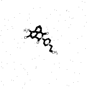 C=CCN1CCC(N2C(=O)c3cccc4c(N)c(Cl)cc(c34)C2=O)CC1